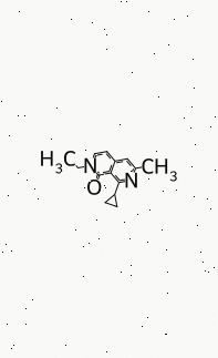 CCn1ccc2cc(C)nc(C3CC3)c2c1=O